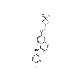 O=S1(=O)CC(COc2ccc3c(Nc4ccc(Cl)nc4)nccc3c2)C1